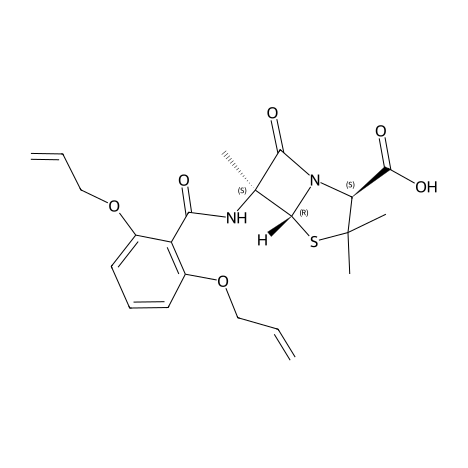 C=CCOc1cccc(OCC=C)c1C(=O)N[C@@]1(C)C(=O)N2[C@@H](C(=O)O)C(C)(C)S[C@@H]21